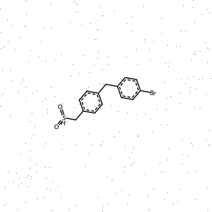 O=[SH](=O)Cc1ccc([CH]c2ccc(Br)cc2)cc1